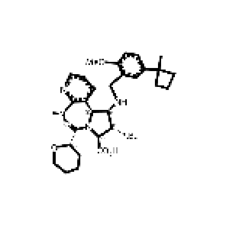 COc1ccc(C2(C)CCC2)cc1CN[C@H]1[C@H](C(C)(C)C)[C@@H](C(=O)O)N(C(=O)[C@@H]2CCCCO2)[C@H]1c1cccnc1N(C)C